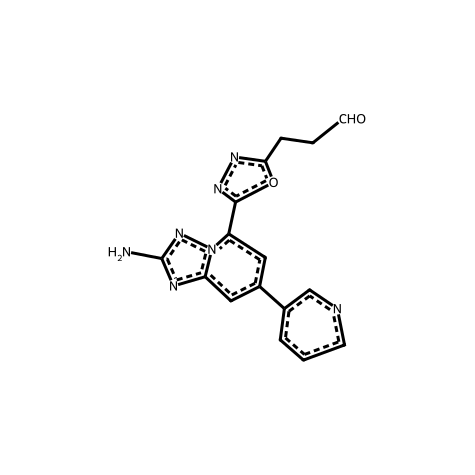 Nc1nc2cc(-c3cccnc3)cc(-c3nnc(CCC=O)o3)n2n1